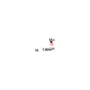 [Co].[LiH].[Mn].[Ni].[O]=[Mo]